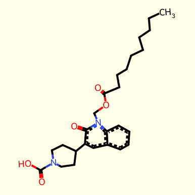 CCCCCCCCCC(=O)OCn1c(=O)c(C2CCN(C(=O)O)CC2)cc2ccccc21